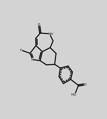 O=C1C=C2C(F)=NC3=C2C(CN1)CC(c1ccc(C(=O)O)cc1)C3